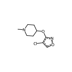 CN1CCC(Oc2nocc2Cl)CC1